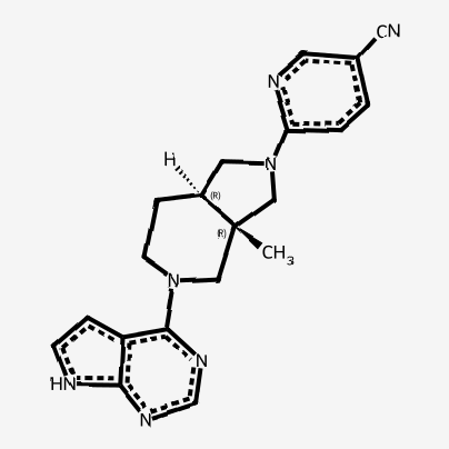 C[C@]12CN(c3ccc(C#N)cn3)C[C@@H]1CCN(c1ncnc3[nH]ccc13)C2